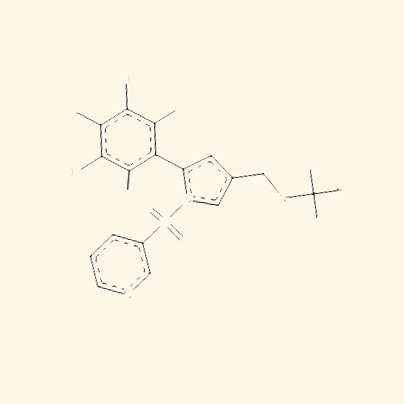 Cl.[2H]c1c([2H])c([2H])c(-c2cc(CNC([2H])([2H])[2H])cn2S(=O)(=O)c2cccnc2)c([2H])c1[2H]